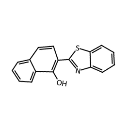 Oc1c(-c2nc3ccccc3s2)ccc2ccccc12